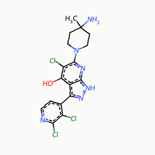 CC1(N)CCN(c2nc3[nH]nc(-c4ccnc(Cl)c4Cl)c3c(O)c2Cl)CC1